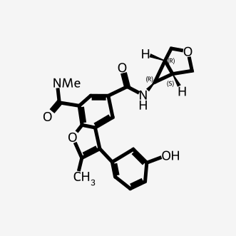 CNC(=O)c1cc(C(=O)N[C@H]2[C@@H]3COC[C@@H]32)cc2c(-c3cccc(O)c3)c(C)oc12